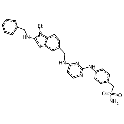 CCn1c(NCc2ccccc2)nc2cc(CNc3ccnc(Nc4ccc(CS(N)(=O)=O)cc4)n3)ccc21